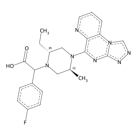 CC[C@@H]1CN(c2nc3nncn3c3cccnc23)[C@@H](C)CN1C(C(=O)O)c1ccc(F)cc1